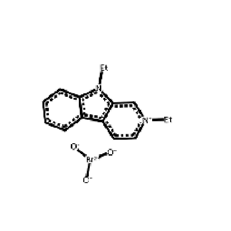 CCn1c2ccccc2c2cc[n+](CC)cc21.[O-][Br+2]([O-])[O-]